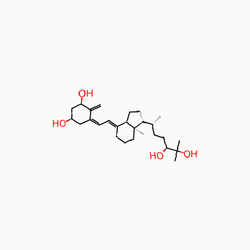 C=C1/C(=C\C=C2CCC[C@@]3(C)C2CC[C@@H]3[C@H](C)CC[C@H](O)C(C)(C)O)C[C@@H](O)C[C@H]1O